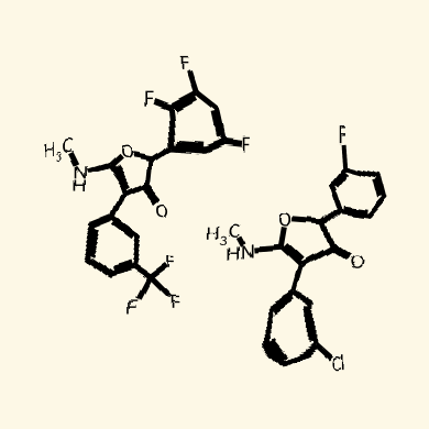 CNC1=C(c2cccc(C(F)(F)F)c2)C(=O)C(c2cc(F)cc(F)c2F)O1.CNC1=C(c2cccc(Cl)c2)C(=O)C(c2cccc(F)c2)O1